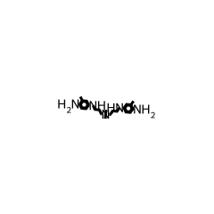 Cc1cc(NCCC[N+](C)(C)CCCNc2ccc(N)c(C)c2)ccc1N